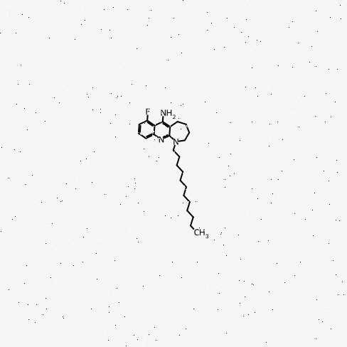 CCCCCCCCCCCCN1CCCCc2c1nc1cccc(F)c1c2N